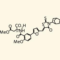 COC(=O)C[C@H](NC(=O)c1cc(-c2ccc(C=C3SC(=S)N(C4CC5CCC4C5)C3=O)o2)ccc1OC)C(=O)O